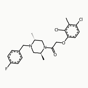 Cc1c(Cl)ccc(OCC(=O)N2C[C@@H](C)N(Cc3ccc(F)cc3)C[C@@H]2C)c1Cl